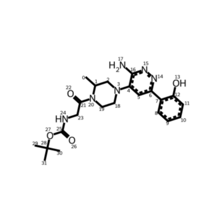 CC1CN(c2cc(-c3ccccc3O)nnc2N)CCN1C(=O)CNC(=O)OC(C)(C)C